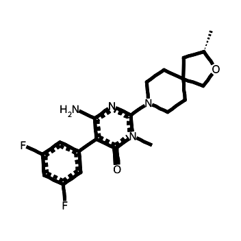 C[C@H]1CC2(CCN(c3nc(N)c(-c4cc(F)cc(F)c4)c(=O)n3C)CC2)CO1